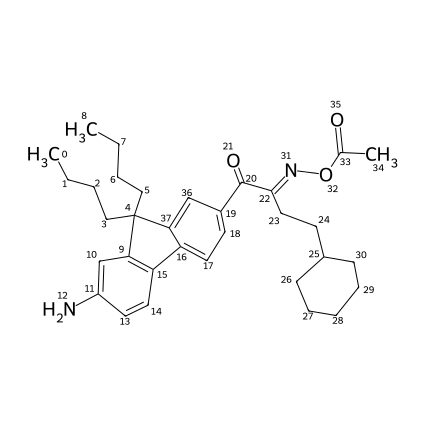 CCCCC1(CCCC)c2cc(N)ccc2-c2ccc(C(=O)/C(CCC3CCCCC3)=N/OC(C)=O)cc21